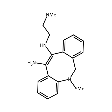 CNCCN/C1=C(\N)c2ccccc2N(SC)Cc2ccccc21